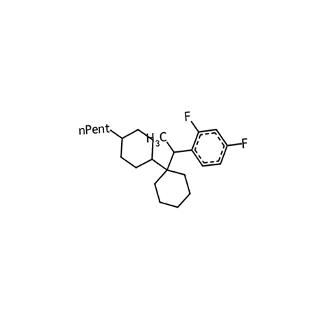 CCCCCC1CCC(C2(C(C)c3ccc(F)cc3F)CCCCC2)CC1